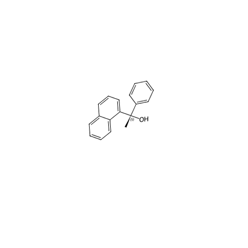 C[C@](O)(c1ccccc1)c1cccc2ccccc12